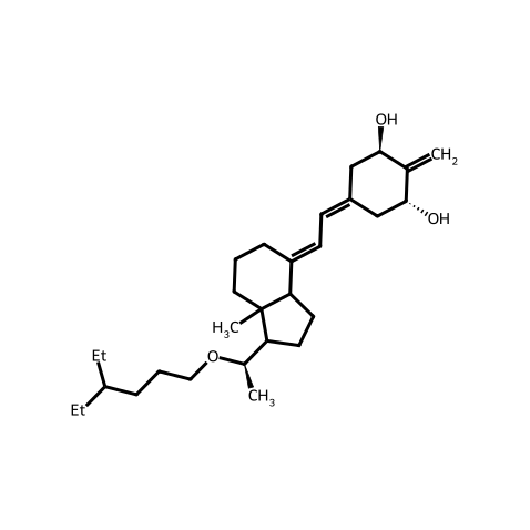 C=C1[C@H](O)CC(=C/C=C2\CCCC3(C)C2CCC3[C@@H](C)OCCCC(CC)CC)C[C@H]1O